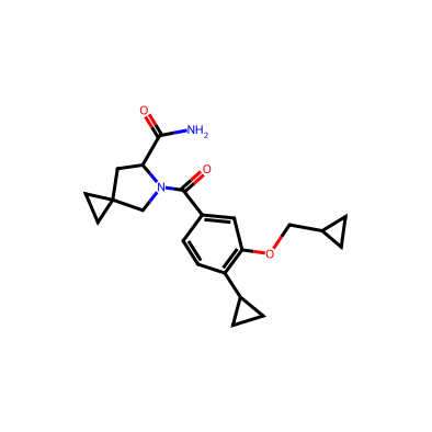 NC(=O)C1CC2(CC2)CN1C(=O)c1ccc(C2CC2)c(OCC2CC2)c1